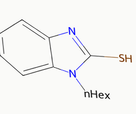 CCCCCCn1c(S)nc2ccccc21